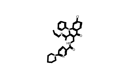 C/C=C\N=C(/C)c1c(CNC(=O)c2ccc(N3CCCCC3)nc2)c(=O)c2ccc(Cl)cc2n1-c1ccccc1